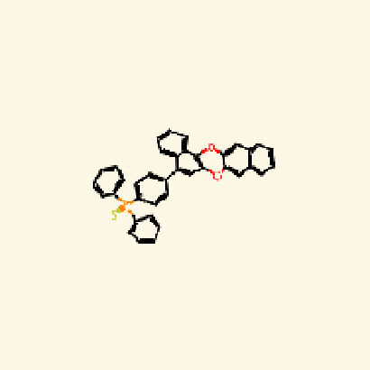 S=P(c1ccccc1)(c1ccccc1)c1ccc(-c2cc3c(c4ccccc24)Oc2cc4ccccc4cc2O3)cc1